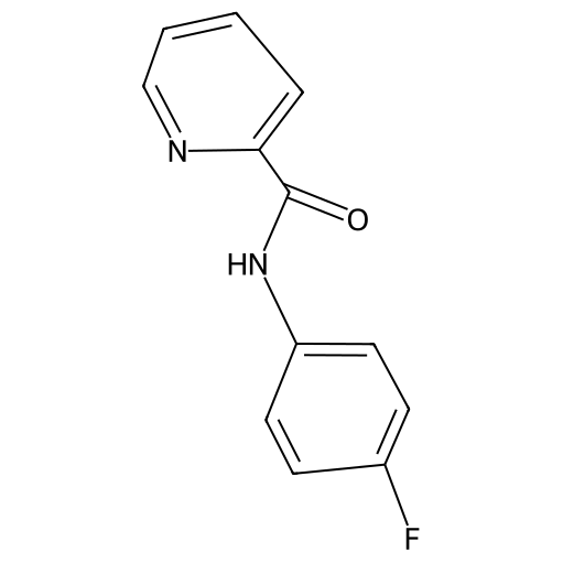 O=C(Nc1ccc(F)cc1)c1ccccn1